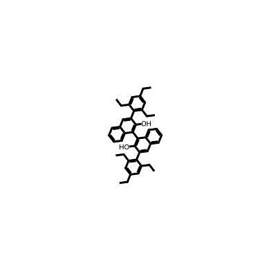 CCc1cc(CC)c(-c2cc3ccccc3c(-c3c(O)c(-c4c(CC)cc(CC)cc4CC)cc4ccccc34)c2O)c(CC)c1